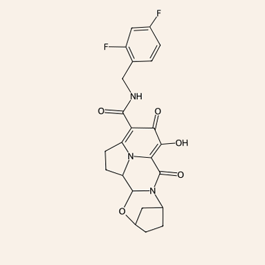 O=C(NCc1ccc(F)cc1F)c1c2n3c(c(O)c1=O)C(=O)N1C4CCC(C4)OC1C3CC2